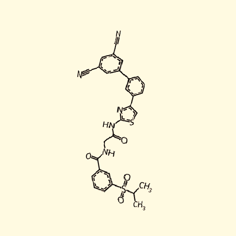 CC(C)S(=O)(=O)c1cccc(C(=O)NCC(=O)Nc2nc(-c3cccc(-c4cc(C#N)cc(C#N)c4)c3)cs2)c1